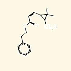 CC1(C)C(/C=C\C(=O)OCCc2ccccc2)C1C(=O)O